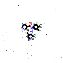 Cc1cc(NC(=O)C2=CCCN=C2SCc2ccnc(Cl)c2)ccc1F